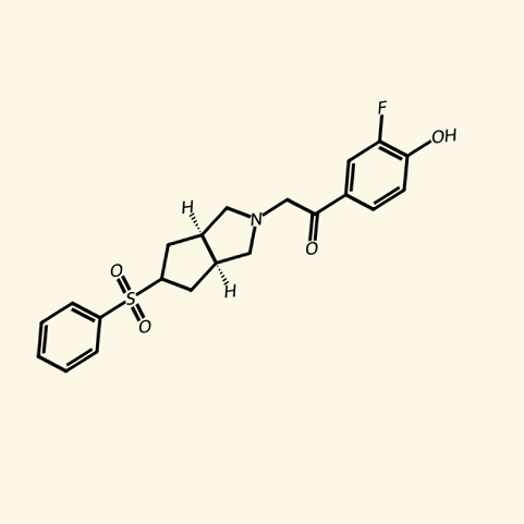 O=C(CN1C[C@H]2CC(S(=O)(=O)c3ccccc3)C[C@H]2C1)c1ccc(O)c(F)c1